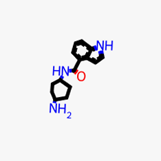 NC1CCC(NC(=O)c2cccc3[nH]ccc23)CC1